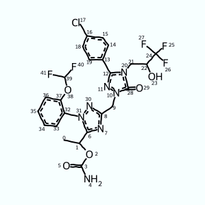 CC(OC(N)=O)c1nc(Cn2nc(-c3ccc(Cl)cc3)n(CC(O)C(F)(F)F)c2=O)nn1-c1ccccc1OC(F)F